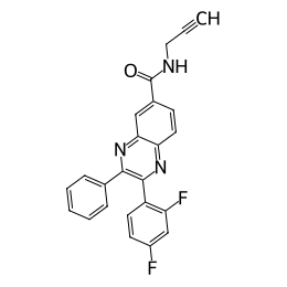 C#CCNC(=O)c1ccc2nc(-c3ccc(F)cc3F)c(-c3ccccc3)nc2c1